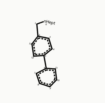 CCCCCCCCc1ccc(-c2cc[c]cc2)cc1